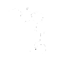 CC(C)(C)Cn1ccc2c(NC(=O)C3C[C@@H]4CC[C@H]3C4)cccc2c1=O